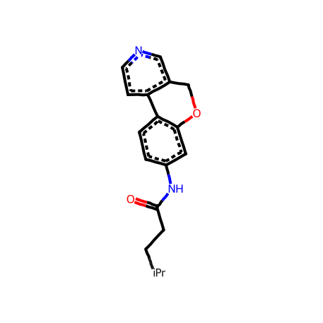 CC(C)CCC(=O)Nc1ccc2c(c1)OCc1cnccc1-2